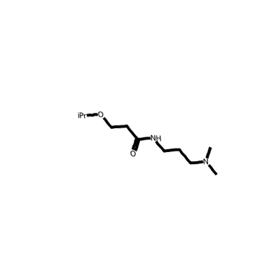 CC(C)OCCC(=O)NCCCN(C)C